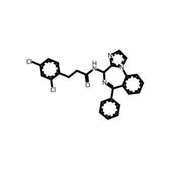 O=C(CCc1ccc(Cl)cc1Cl)NC1N=C(c2ccccc2)c2ccccc2-n2ccnc21